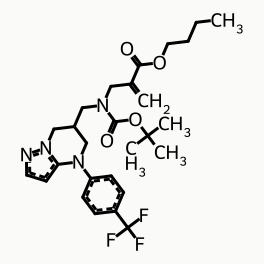 C=C(CN(CC1CN(c2ccc(C(F)(F)F)cc2)c2ccnn2C1)C(=O)OC(C)(C)C)C(=O)OCCCC